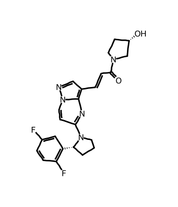 O=C(C=Cc1cnn2ccc(N3CCC[C@@H]3c3cc(F)ccc3F)nc12)N1CC[C@H](O)C1